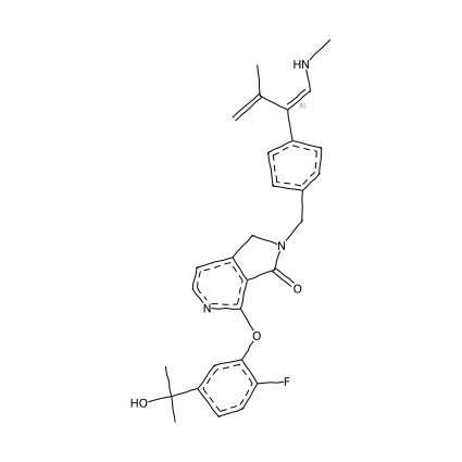 C=C(C)/C(=C\NC)c1ccc(CN2Cc3ccnc(Oc4cc(C(C)(C)O)ccc4F)c3C2=O)cc1